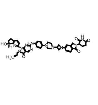 C=CCn1c(=O)c2cnc(Nc3ccc(N4CCN(C5CN(c6ccc7c(c6)CN(C6CCC(=O)NC6=O)C7=O)C5)CC4)cc3)nc2n1-c1ccc2c(n1)[C@@](O)(CC)CC2